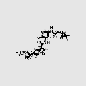 Cc1ncc(NC(=O)CN2CC(C)(C)C2)cc1NC(=O)c1cnn2cc(-c3cnn(C(F)(F)F)c3)sc12